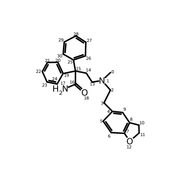 CN(CCc1ccc2c(c1)CCO2)CCC(C(N)=O)(c1ccccc1)c1ccccc1